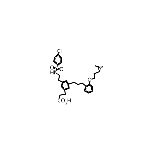 CN(C)CCCOc1ccccc1CCCc1cc(CCNS(=O)(=O)c2ccc(Cl)cc2)cc(CCC(=O)O)c1